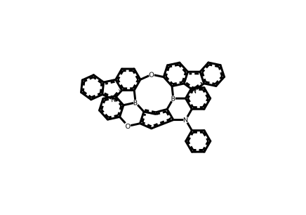 c1ccc(N2c3cc4c5cc3B3c6c2cccc6-n2c6ccccc6c6ccc(c3c62)Oc2ccc3c6ccccc6n6c3c2B5c2c(cccc2-6)O4)cc1